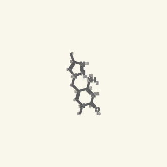 Cc1cn(Cc2cn(C)c(=O)nc2N)nn1